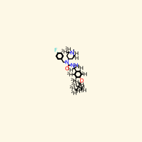 [2H]c1c([2H])c(C([2H])([2H])NC(=O)N(Cc2ccc(F)cc2)C2CC([2H])([2H])N(C)C([2H])([2H])C2)c([2H])c([2H])c1OC([2H])([2H])C([2H])(C([2H])([2H])[2H])C([2H])([2H])[2H]